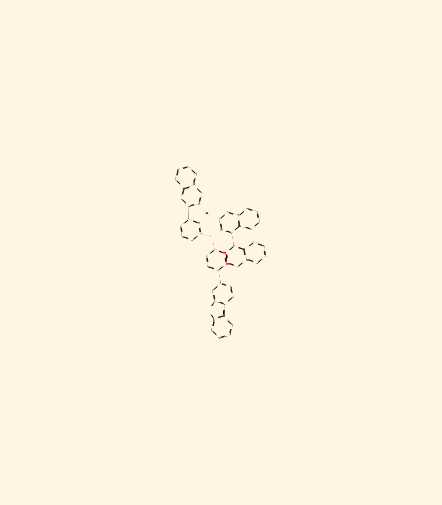 CC1(C)c2cc3ccccc3cc2-c2cccc(N(c3ccc(-c4ccc5c(c4)oc4ccccc45)cc3)c3ccc4ccccc4c3-c3cccc4ccccc34)c21